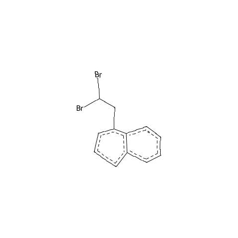 BrC(Br)Cc1cccc2ccccc12